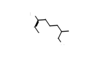 CC=C(CC)CCCC(C)CO